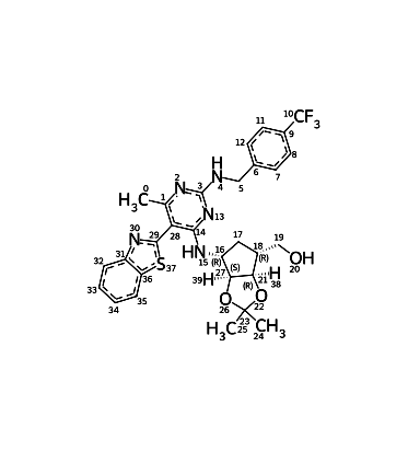 Cc1nc(NCc2ccc(C(F)(F)F)cc2)nc(N[C@@H]2C[C@H](CO)[C@H]3OC(C)(C)O[C@H]32)c1-c1nc2ccccc2s1